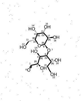 O=C[C@H](O)[C@@H](O)[C@@H](O[C@H]1O[C@H](CO)[C@H](O)[C@H](O)[C@H]1O)[C@H](O)CO